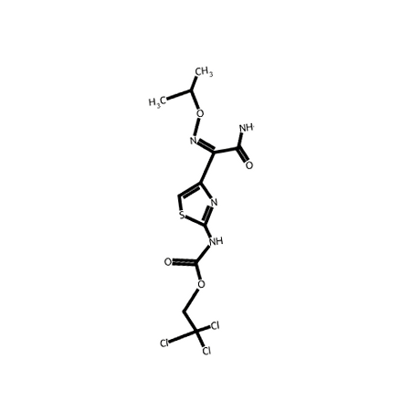 CC(C)ON=C(C([NH])=O)c1csc(NC(=O)OCC(Cl)(Cl)Cl)n1